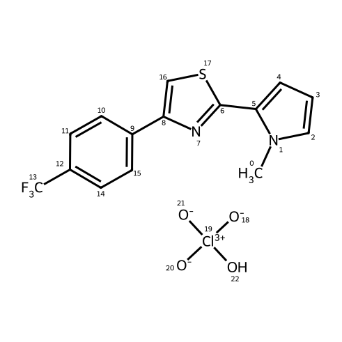 Cn1cccc1-c1nc(-c2ccc(C(F)(F)F)cc2)cs1.[O-][Cl+3]([O-])([O-])O